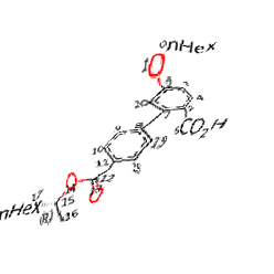 CCCCCCOc1ccc(C(=O)O)c(-c2ccc(C(=O)O[C@H](C)CCCCCC)cc2)c1